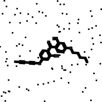 CC#CC#COc1ccc(C(=O)c2ccc(OCCCCC)cc2O)c(O)c1